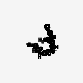 CN(C)Cc1c(OC(=O)N2CCC(N3CCCCC3)CC2)ccc2[nH]c([S+]([O-])c3cc4cc(NC(=O)Nc5cc(C(C)(C)C)on5)ccc4o3)cc12